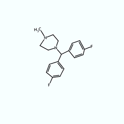 CN1CCN(C(c2ccc(F)cc2)c2ccc(F)cc2)CC1